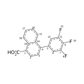 O=C(O)c1ccc(-c2cc(F)c(F)c(F)c2)c2ccccc12